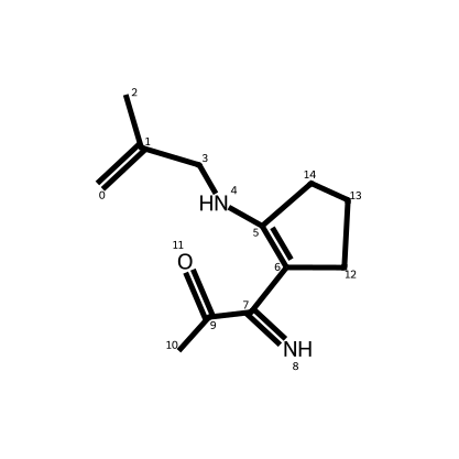 C=C(C)CNC1=C(C(=N)C(C)=O)CCC1